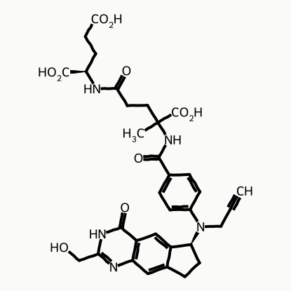 C#CCN(c1ccc(C(=O)NC(C)(CCC(=O)N[C@H](CCC(=O)O)C(=O)O)C(=O)O)cc1)[C@H]1CCc2cc3nc(CO)[nH]c(=O)c3cc21